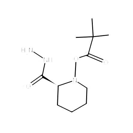 CC(C)(C)C(=O)ON1CCCC[C@H]1C(=O)NN